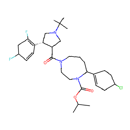 CC(C)OC(=O)N1CCN(C(=O)C2CN(C(C)(C)C)C[C@H]2C2=C(F)CC(F)C=C2)CCCC1C1=CCC(Cl)CC1